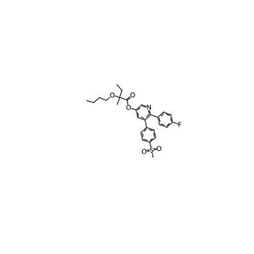 CCCCOC(C)(CC)C(=O)Oc1cnc(-c2ccc(F)cc2)c(-c2ccc(S(C)(=O)=O)cc2)c1